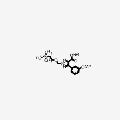 COC(=O)c1nn(COCC[Si](C)(C)C)nc1-c1cccc(OC)c1